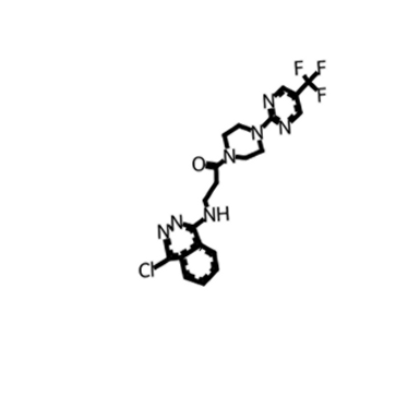 O=C(CCNc1nnc(Cl)c2ccccc12)N1CCN(c2ncc(C(F)(F)F)cn2)CC1